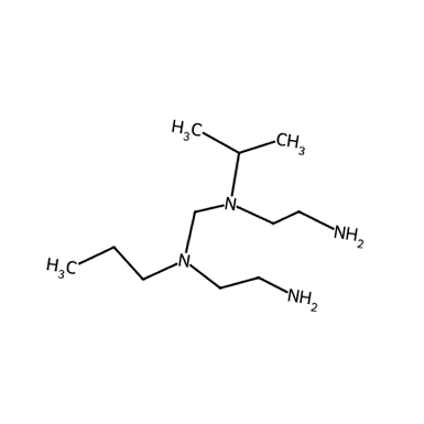 CCCN(CCN)CN(CCN)C(C)C